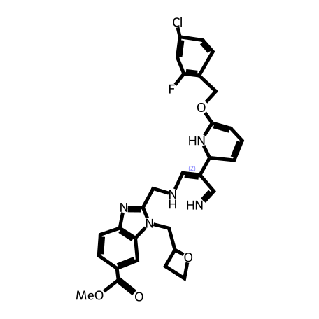 COC(=O)c1ccc2nc(CN/C=C(\C=N)C3C=CC=C(OCc4ccc(Cl)cc4F)N3)n(CC3CCO3)c2c1